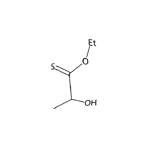 CCOC(=S)C(C)O